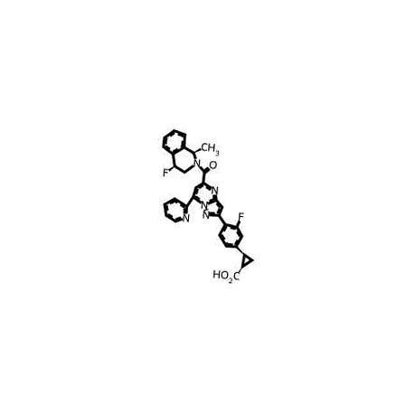 C[C@@H]1c2ccccc2[C@H](F)CN1C(=O)c1cc(-c2ccccn2)n2nc(-c3ccc([C@H]4C[C@@H]4C(=O)O)cc3F)cc2n1